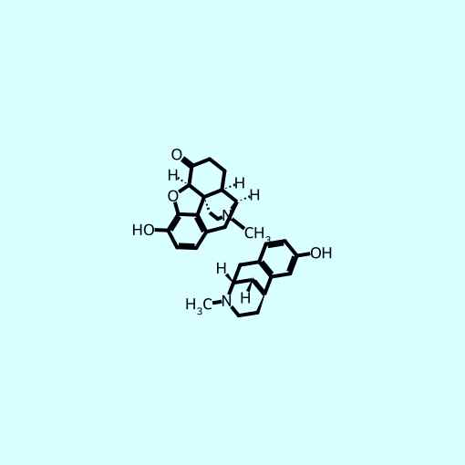 CN1CC[C@]23CCCC[C@H]2[C@H]1Cc1ccc(O)cc13.CN1CC[C@]23c4c5ccc(O)c4O[C@H]2C(=O)CC[C@H]3[C@H]1C5